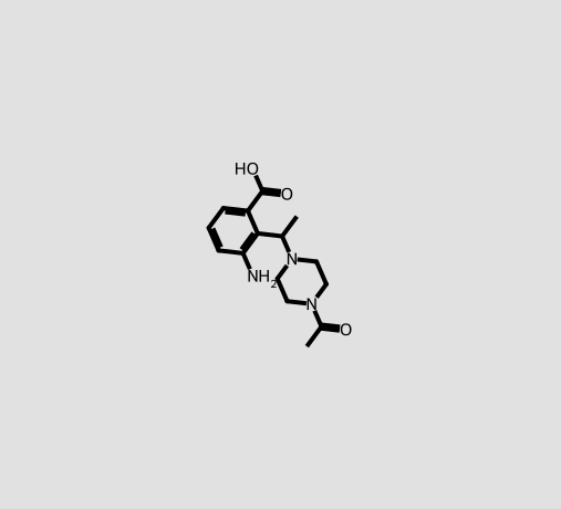 CC(=O)N1CCN(C(C)c2c(N)cccc2C(=O)O)CC1